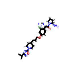 CC(C)c1noc(N2CCC(CCCOc3ccc([C@H](N)C(=O)N4CCC[C@H]4N)c(F)c3)CC2)n1